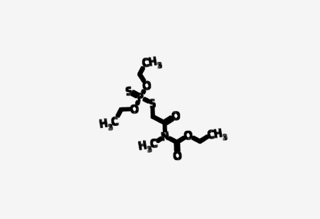 CCOC(=O)N(C)C(=O)CSP(=S)(OCC)OCC